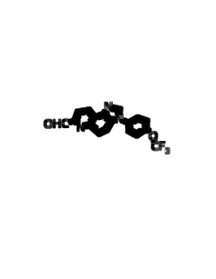 O=Cc1ccc2c(ccc3c2ncn3-c2ccc(OC(F)(F)F)cc2)n1